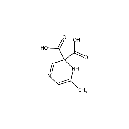 CC1=CN=CC(C(=O)O)(C(=O)O)N1